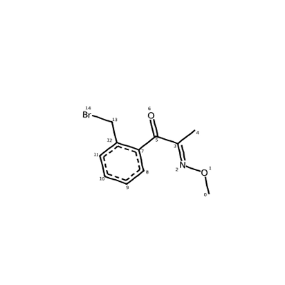 CON=C(C)C(=O)c1ccccc1CBr